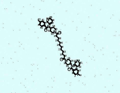 Cc1ccc(C(=O)N(c2cccnc2)C2CCN(C(=O)CCCCCCCCCCC(=O)N3CCC(N(C(=O)c4ccc(C)cc4)c4cccnc4)CC3)CC2)cc1